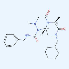 C[C@H]1C(=O)N(CC2CCCCC2)C[C@H]2N1C(=O)CN(C)N2C(=O)NCc1ccccc1